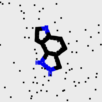 c1cc2c(ccc3c[nH][nH]c32)n1